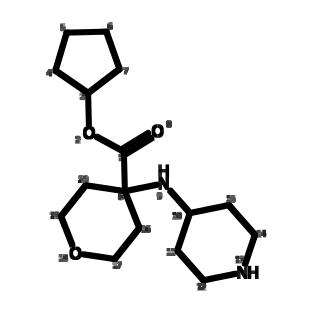 O=C(OC1CCCC1)C1(NC2CCNCC2)CCOCC1